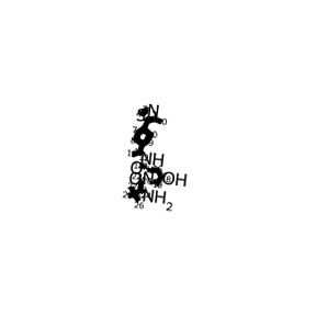 Cc1ncsc1-c1ccc(C(C)NC(=O)[C@H]2C[C@H](O)CN2C(=O)C(N)C(C)(C)C)cc1